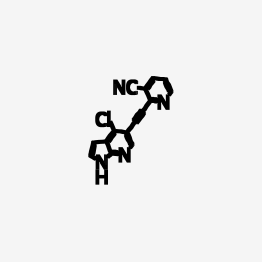 N#Cc1cccnc1C#Cc1cnc2[nH]ccc2c1Cl